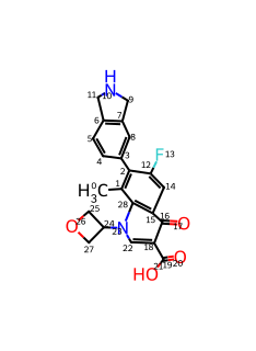 Cc1c(-c2ccc3c(c2)CNC3)c(F)cc2c(=O)c(C(=O)O)cn(C3COC3)c12